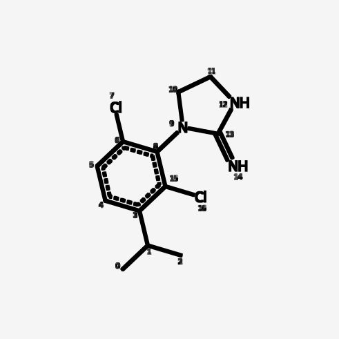 CC(C)c1ccc(Cl)c(N2CCNC2=N)c1Cl